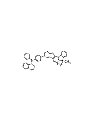 CC1(C)c2ccccc2-c2c1ccc1c2sc2ccc(-c3ccc(N(c4ccccc4)c4cccc5ccccc45)cc3)cc21